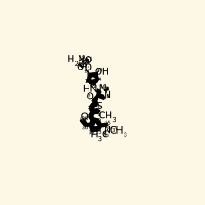 Cc1sc(C(=O)c2cncnc2N[C@@H]2C[C@H](COS(N)(=O)=O)[C@@H](O)C2)cc1C1OCCc2ccc(CN(C)C)cc21